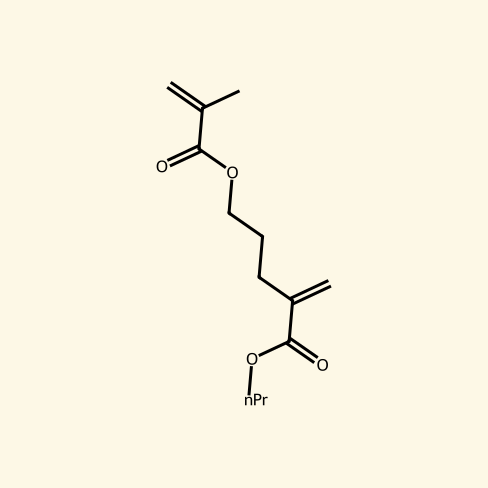 C=C(C)C(=O)OCCCC(=C)C(=O)OCCC